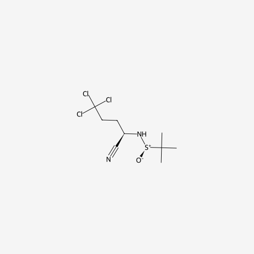 CC(C)(C)[S@@+]([O-])N[C@@H](C#N)CCC(Cl)(Cl)Cl